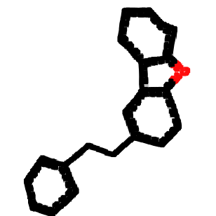 c1ccc(CCc2ccc3oc4ccccc4c3c2)cc1